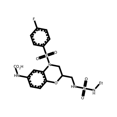 CCNS(=O)(=O)NCC1CN(S(=O)(=O)c2ccc(F)cc2)c2cc(NC(=O)O)ccc2O1